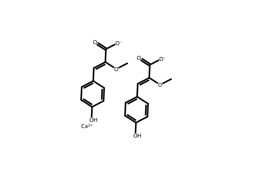 COC(=Cc1ccc(O)cc1)C(=O)[O-].COC(=Cc1ccc(O)cc1)C(=O)[O-].[Ca+2]